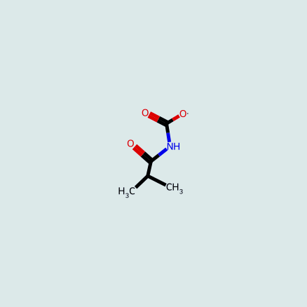 CC(C)C(=O)NC([O])=O